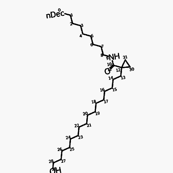 CCCCCCCCCCCCCCCCCCNC(=O)C1(CCCCCCCCCCCCCCCCO)CC1